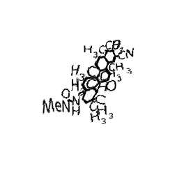 CNC(=O)NC[C@]12CCC(C)(C)C[C@@]1(C)[C@H]1C(=O)C=C3[C@@]4(C)C=C(C#N)C(=O)C(C)(C)C4CC[C@@]3(C)[C@]1(C)CC2